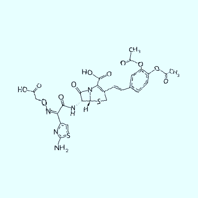 CC(=O)Oc1ccc(C=CC2=C(C(=O)O)N3C(=O)[C@@H](NC(=O)/C(=N\OCC(=O)O)c4csc(N)n4)[C@H]3SC2)cc1OC(C)=O